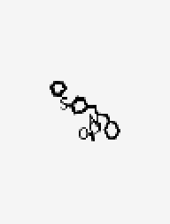 CC(=O)ON=C(Cc1ccc(Sc2ccccc2)cc1)CC1CCCCC1